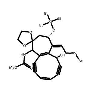 CC[Si](CC)(CC)O[C@H]1CC2(OCCO2)C(NC(=O)OC)C2=C(/C1=C\CSC(C)=O)[C@@H](O)C#C/C=C\C#C2